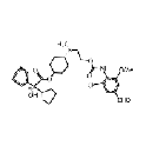 COc1cc(C=O)cc(Cl)c1NC(=O)OCCN(C)[C@H]1CC[C@H](OC(=O)[C@](O)(c2ccccc2)C2CCCC2)CC1